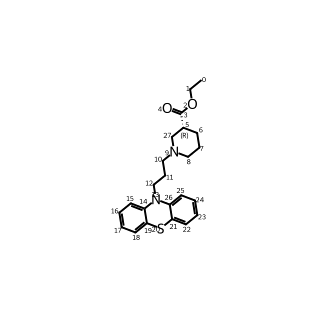 CCOC(=O)[C@@H]1CCCN(CCCN2c3ccccc3Sc3ccccc32)C1